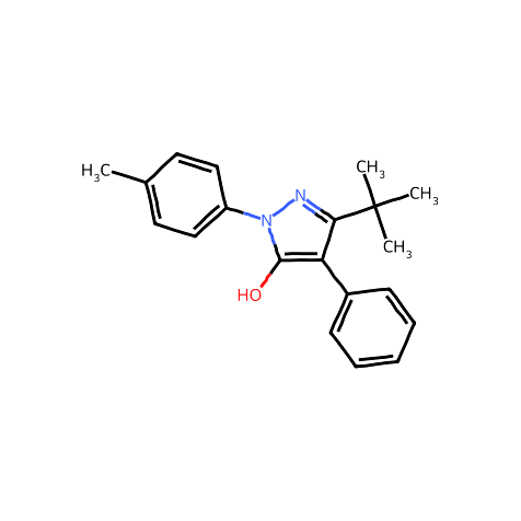 Cc1ccc(-n2nc(C(C)(C)C)c(-c3ccccc3)c2O)cc1